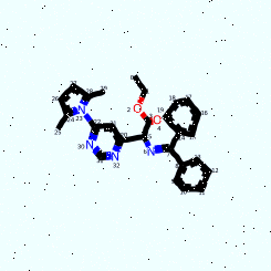 CCOC(=O)C(N=C(c1ccccc1)c1ccccc1)c1cc(-n2c(C)ccc2C)ncn1